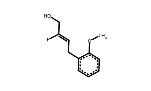 COc1ccccc1CC=C(F)CO